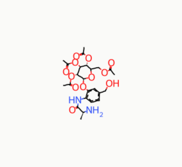 CC(=O)OCC1O[C@@H](Oc2cc(CO)ccc2NC(=O)[C@H](C)N)[C@H](OC(C)=O)[C@@H](OC(C)=O)[C@@H]1OC(C)=O